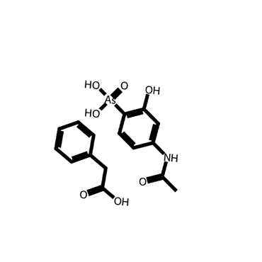 CC(=O)Nc1ccc([As](=O)(O)O)c(O)c1.O=C(O)Cc1ccccc1